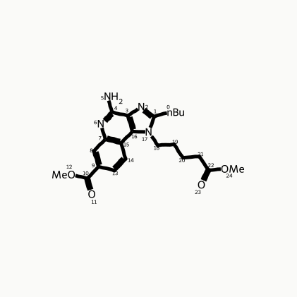 CCCCc1nc2c(N)nc3cc(C(=O)OC)ccc3c2n1CCCCC(=O)OC